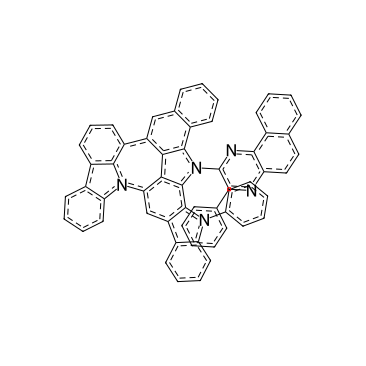 c1ccc(-c2nc3ccc4ccccc4c3nc2-n2c3c4ccccc4cc4c5cccc6c7ccccc7n(c7cc8c9ccccc9n(-c9ccccc9)c8c2c7c43)c56)cc1